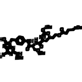 CCCCCCCCCCCCCC(=O)OCCSC[C@H](NC(=O)OC(C)(C)C)C(=O)N[C@@H](COC(C)(C)C)C(=O)Nc1ccc(Cn2c(O)nc3c(N)nc(NCCCC)nc32)cc1